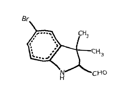 CC1(C)c2cc(Br)ccc2NC1C=O